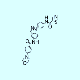 O=C(Nc1ccc2c(cnn2-c2ccc(NC(=O)c3cncs3)cc2)c1)c1ccc(N2CCOCC2)cc1